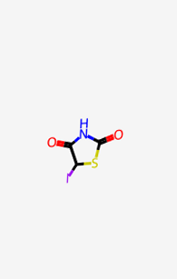 O=C1NC(=O)C(I)S1